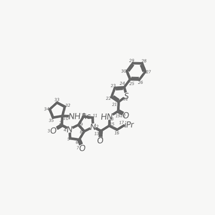 CC(=O)NC1(C(=O)N2CC(=O)C3C2CCN3C(=O)C(CC(C)C)NC(=O)c2ccc(-c3ccccc3)s2)CCCC1